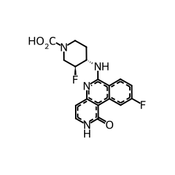 O=C(O)N1CC[C@H](Nc2nc3cc[nH]c(=O)c3c3cc(F)ccc23)[C@@H](F)C1